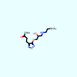 COC(=O)CCc1nsnc1OCC(O)CNCCNC(C)=O